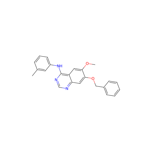 COc1cc2c(Nc3cccc(C)c3)ncnc2cc1OCc1ccccc1